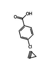 C1#CC1.O=C(O)c1ccc(Cl)cc1